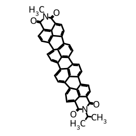 CC(C)N1C(=O)c2ccc3c4ccc5c6ccc7c8ccc9c%10c(ccc(c%11ccc(c%12ccc(c%13ccc(c2c3%13)C1=O)c4c5%12)c6c7%11)c%108)C(=O)N(C)C9=O